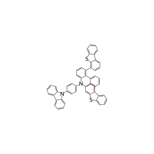 c1ccc(-c2c(-c3cccc4c3sc3ccccc34)cccc2N(c2ccc(-n3c4ccccc4c4ccccc43)cc2)c2ccc3c(c2)sc2ccccc23)cc1